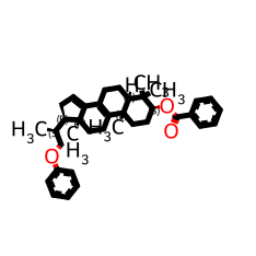 C[C@H](COc1ccccc1)[C@H]1CC=C2C3=C(CC[C@@]21C)[C@@]1(C)CC[C@H](OC(=O)c2ccccc2)C(C)(C)[C@@H]1CC3